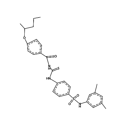 CCCC(C)Oc1ccc(C(=O)NC(=S)Nc2ccc(S(=O)(=O)Nc3cc(C)cc(C)c3)cc2)cc1